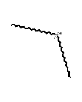 CCCCCCCCCCCCCCCCCC[N+]([O-])(O)CCCCCCCCCCCCCCCCC